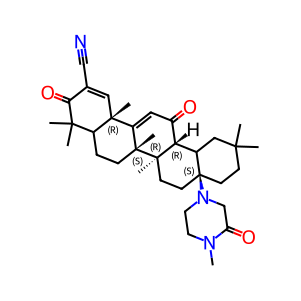 CN1CCN([C@]23CCC(C)(C)CC2[C@H]2C(=O)C=C4[C@@]5(C)C=C(C#N)C(=O)C(C)(C)C5CC[C@@]4(C)[C@]2(C)CC3)CC1=O